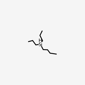 CCCC[SiH](CCC)CCC